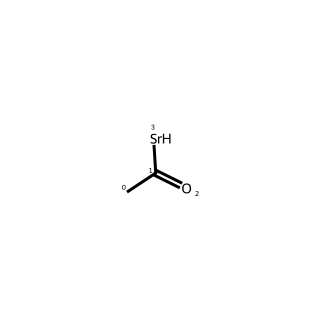 C[C](=O)[SrH]